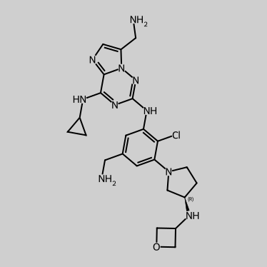 NCc1cc(Nc2nc(NC3CC3)c3ncc(CN)n3n2)c(Cl)c(N2CC[C@@H](NC3COC3)C2)c1